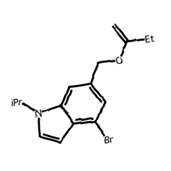 C=C(CC)OCc1cc(Br)c2ccn(C(C)C)c2c1